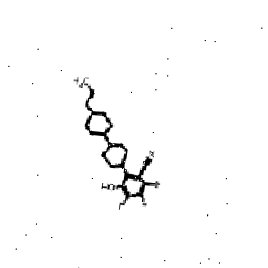 CCCC1CCC(C2CCC(c3c(O)c(F)c(F)c(F)c3C#N)CC2)CC1